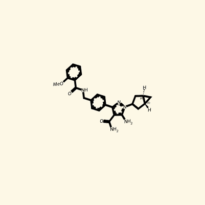 COc1ccccc1C(=O)NCc1ccc(-c2nn(C3C[C@H]4C[C@@H]4C3)c(N)c2C(N)=O)cc1